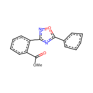 COC(=O)c1ccccc1-c1noc(-c2ccccc2)n1